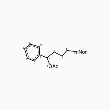 CCCCCCCCCCCCC(OC(C)=O)c1ccccc1